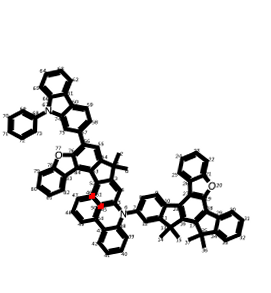 CC1(C)c2cc(N(c3ccc4c(c3)C(C)(C)c3c5c(c6oc7ccccc7c6c3-4)-c3ccccc3C5(C)C)c3ccccc3-c3ccccc3)ccc2-c2c1cc(-c1ccc3c4ccccc4n(-c4ccccc4)c3c1)c1oc3ccccc3c21